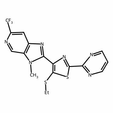 CCSc1sc(-c2ncccn2)nc1-c1nc2cc(C(F)(F)F)ncc2n1C